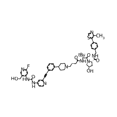 Cc1ncsc1-c1ccc(CNC(=O)[C@@H]2C[C@@H](O)CN2C(=O)[C@@H](NC(=O)CCCN2CCC(c3cccc(C#Cc4cc(NC(=O)Nc5cc(F)ncc5CO)ccn4)c3)CC2)C(C)(C)C)cc1